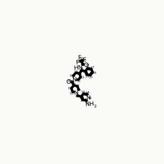 Nc1cc(CN2CCC(C(=O)N3CCC(C(NC(=O)C(F)(F)F)c4ccccc4)CC3)CC2)ccn1